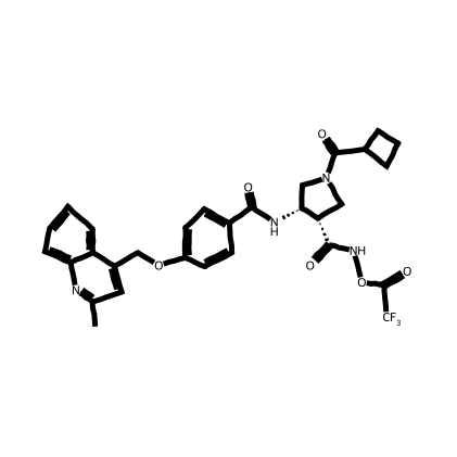 Cc1cc(COc2ccc(C(=O)N[C@@H]3CN(C(=O)C4CCC4)C[C@@H]3C(=O)NOC(=O)C(F)(F)F)cc2)c2ccccc2n1